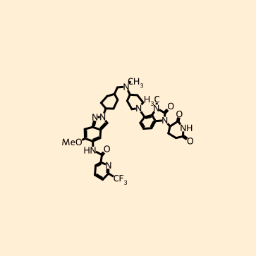 COc1cc2nn(C3CCC(CN(C)C4CCN(c5cccc6c5n(C)c(=O)n6C5CCC(=O)NC5=O)CC4)CC3)cc2cc1NC(=O)c1cccc(C(F)(F)F)n1